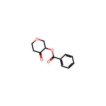 O=C(OC1COCCC1=O)c1ccccc1